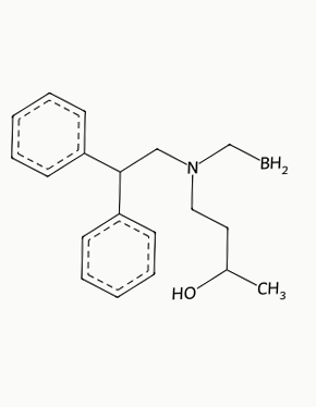 BCN(CCC(C)O)CC(c1ccccc1)c1ccccc1